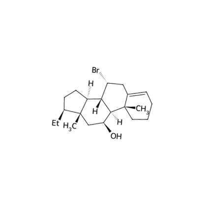 CC[C@H]1CC[C@H]2[C@H]3[C@H]([C@@H](O)C[C@]12C)[C@@]1(C)CCCC=C1C[C@H]3Br